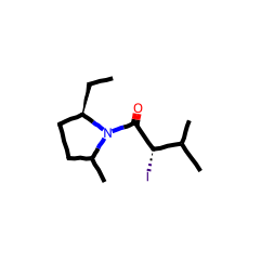 CC[C@@H]1CCC(C)N1C(=O)[C@@H](I)C(C)C